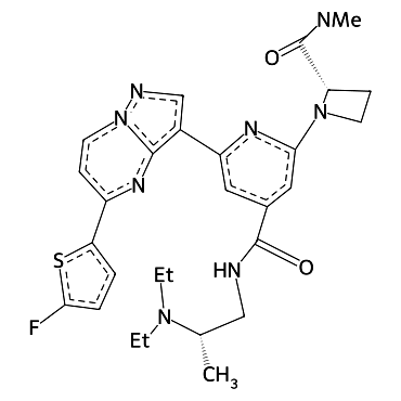 CCN(CC)[C@@H](C)CNC(=O)c1cc(-c2cnn3ccc(-c4ccc(F)s4)nc23)nc(N2CC[C@H]2C(=O)NC)c1